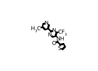 Cc1cncc(-c2ncc(NC(=O)c3cccs3)c(C(F)(F)F)n2)c1